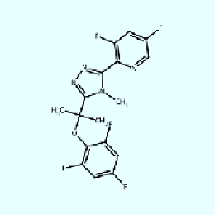 Cn1c(-c2ncc(F)cc2F)nnc1C(C)(C)Oc1c(F)cc(F)cc1F